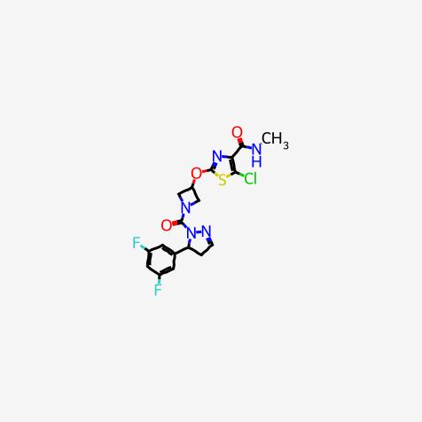 CNC(=O)c1nc(OC2CN(C(=O)N3N=CCC3c3cc(F)cc(F)c3)C2)sc1Cl